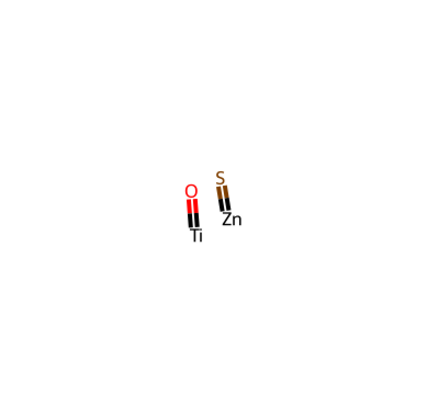 [O]=[Ti].[S]=[Zn]